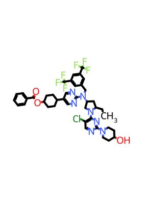 CCC1CC(N(Cc2cc(C(F)(F)F)cc(C(F)(F)F)c2)c2ncc(C3CCC(OC(=O)c4ccccc4)CC3)cn2)CN1c1nc(N2CCC(O)CC2)ncc1Cl